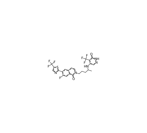 CC(CCCn1ccc2cc(-c3ncc(C(F)(F)F)s3)c(F)cc2c1=O)Nc1cn[nH]c(=O)c1C(F)(F)F